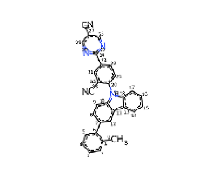 Cc1ccccc1-c1ccc2c(c1)c1ccccc1n2-c1ccc(-c2ncc(C#N)cn2)cc1C#N